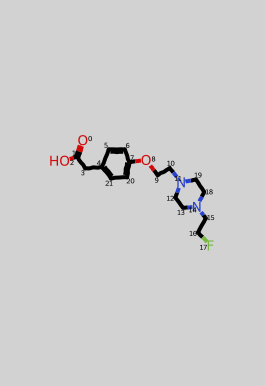 O=C(O)Cc1ccc(OCCN2CCN(CCF)CC2)cc1